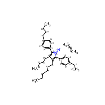 CCCCCCC1=C(c2ccc(CC)cc2)[N+](=[N-])C(c2ccc(CCCC)cc2)=C1CCCC.[CH3][Ni][CH3]